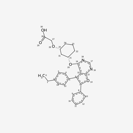 CCc1ccc(-c2c(-c3ccccc3)oc3ncnc(O[C@H]4CCC[C@@H](OCC(=O)O)C4)c23)cc1